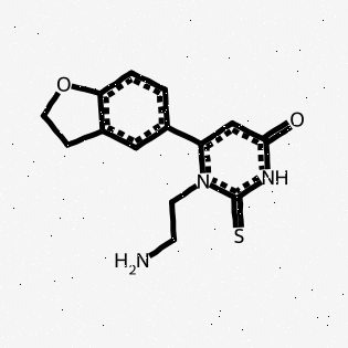 NCCn1c(-c2ccc3c(c2)CCO3)cc(=O)[nH]c1=S